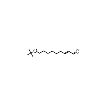 CC(C)(C)OCCCCCCC=CC=O